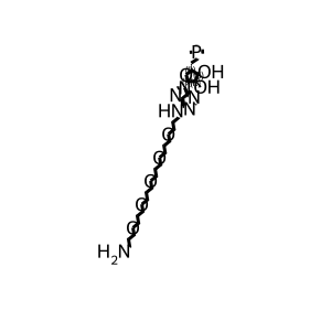 C=P(C)(C)CC[C@H]1O[C@@H](n2cnc3c(NCCCOCCCOCCCOCCCOCCCOCCCN)ncnc32)[C@H](O)[C@@H]1O